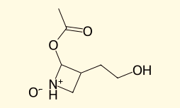 CC(=O)OC1C(CCO)C[NH+]1[O-]